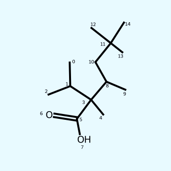 CC(C)C(C)(C(=O)O)C(C)CC(C)(C)C